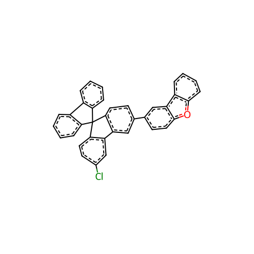 Clc1ccc2c(c1)-c1cc(-c3ccc4oc5ccccc5c4c3)ccc1C21c2ccccc2-c2ccccc21